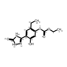 CCOC(=O)Oc1cc(O)c(-c2n[nH]c(=O)[nH]2)cc1CC